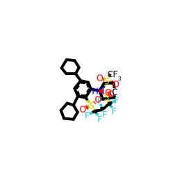 O=S(=O)(NS(=O)(=O)C(F)(F)C(F)(F)C(F)(F)S(=O)(=O)c1c(C2CCCCC2)cc(C2CCCCC2)cc1C1CCCCC1)C(F)(F)F